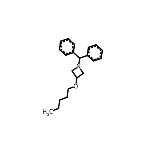 CCCCCOC1CN(C(c2ccccc2)c2ccccc2)C1